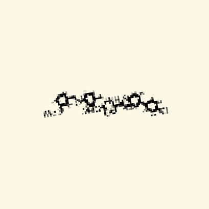 COC(=O)[C@H](Cc1ccc(OCc2cccc(OC)c2)cc1)NC(=O)c1cc2cc(-c3ccc(Cl)cc3)ccc2s1